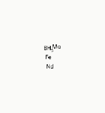 B.[Fe].[Mo].[Nd]